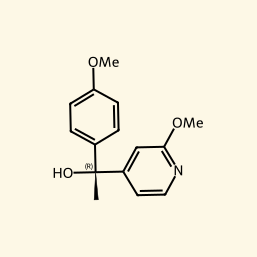 COc1ccc([C@@](C)(O)c2ccnc(OC)c2)cc1